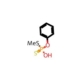 CSP(O)(=S)Oc1ccccc1